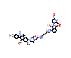 CCc1cc2c(cc1N1CC(C)N(CC(=O)NCCCCCCNc3cccc4c(=C=O)n(C5CCC(=C=O)NC5=C=O)c(=C=O)c34)C(C)C1)C(C)(C)c1[nH]c3cc(C#N)ccc3c1C2=C=O